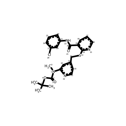 CN(C(=O)OC(C)(C)C)c1cc(CSc2ncccc2C(=O)Nc2cccc(Cl)c2)ccn1